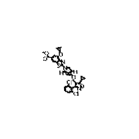 COC(=O)c1cc(OC2CC2)c2nc(N3C[C@@H]4C[C@H]3C[C@H]4OCc3c(-c4c(Cl)cccc4Cl)noc3C3CC3)sc2c1